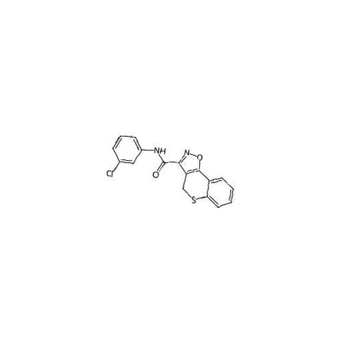 O=C(Nc1cccc(Cl)c1)c1noc2c1CSc1ccccc1-2